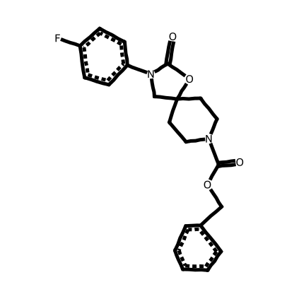 O=C(OCc1ccccc1)N1CCC2(CC1)CN(c1ccc(F)cc1)C(=O)O2